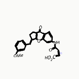 COc1cccc(C=C2CCc3c2oc2cc(NC(=O)/C=C\C(=O)O)ccc2c3=O)c1